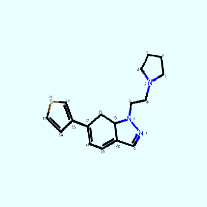 C1=NN(CCN2CCCC2)C2CC(c3ccsc3)=CC=C12